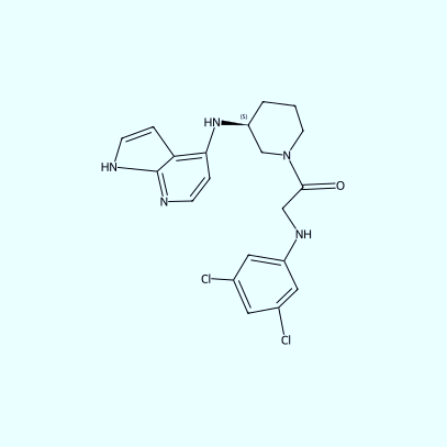 O=C(CNc1cc(Cl)cc(Cl)c1)N1CCC[C@H](Nc2ccnc3[nH]ccc23)C1